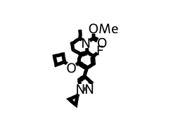 COC(=O)N1c2c(F)cc(-c3cnn(C4CC4)c3)c(OC3CCC3)c2CCC1C